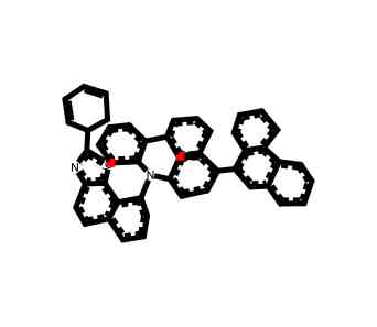 C1=CCC(c2nc3ccc4cccc(N(c5ccc(-c6cc7ccccc7c7ccccc67)cc5)c5ccccc5-c5ccccc5)c4c3o2)C=C1